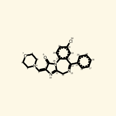 O=C1C(=CN2CCOCC2)N=C2CN=C(c3ccccc3)c3cc(Cl)ccc3N12